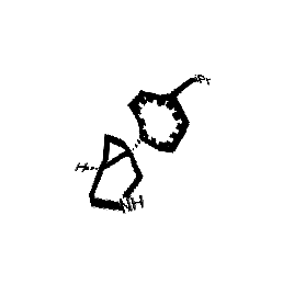 CC(C)c1ccc([C@]23CNC[C@H]2C3)cc1